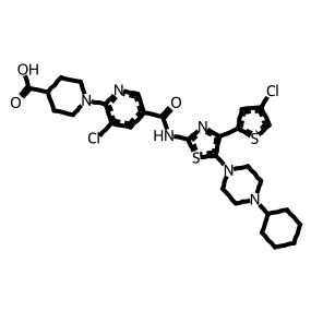 O=C(Nc1nc(-c2cc(Cl)cs2)c(N2CCN(C3CCCCC3)CC2)s1)c1cnc(N2CCC(C(=O)O)CC2)c(Cl)c1